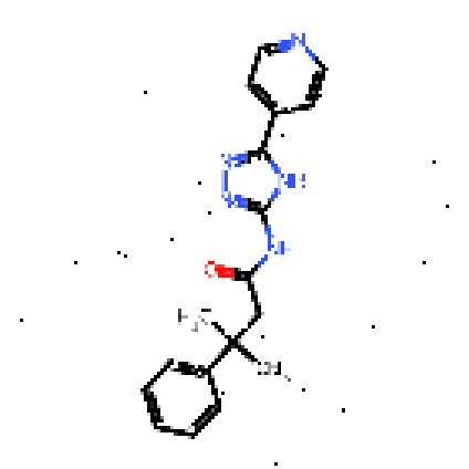 CC(C)(CC(=O)Nc1nnc(-c2ccncc2)[nH]1)c1ccccc1